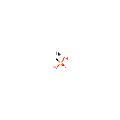 CP(=O)(O)O.[LiH]